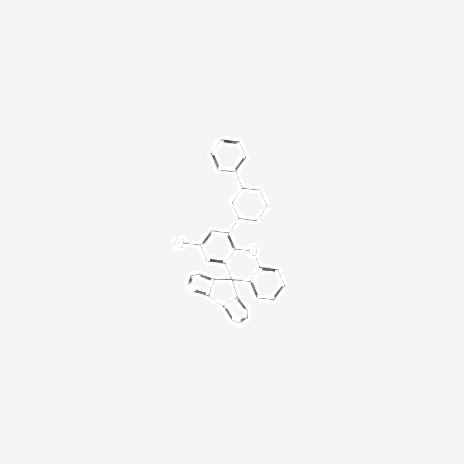 Clc1cc(C2CCCC(c3ccccc3)C2)c2c(c1)C1(c3ccccc3O2)c2ccccc2-c2ccccc21